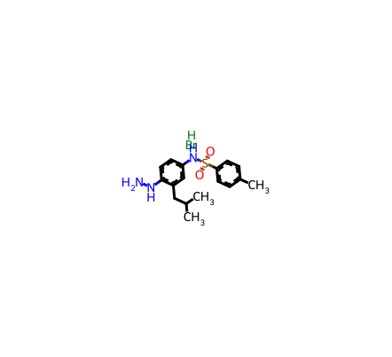 Br.Cc1ccc(S(=O)(=O)Nc2ccc(NN)c(CC(C)C)c2)cc1